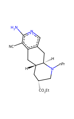 CCCN1C[C@H](C(=O)OCC)C[C@@H]2Cc3c(cnc(N)c3C#N)C[C@H]21